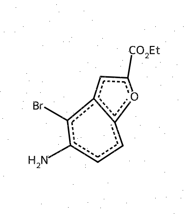 CCOC(=O)c1cc2c(Br)c(N)ccc2o1